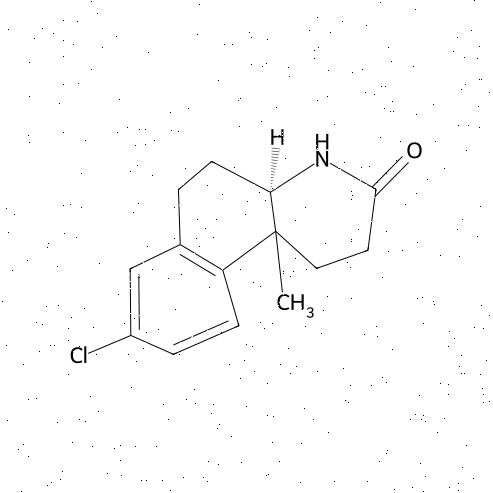 CC12CCC(=O)N[C@@H]1CCc1cc(Cl)ccc12